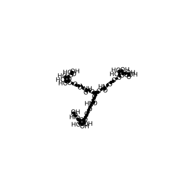 CC(COCCC(=O)NCCOCCOCCOC1OC(COPOOO)C(O)C(O)C1O)(COCCC(=O)NCCOCCOCCOC1OC(COP(=O)(O)O)C(O)C(O)C1O)COCCC(=O)NCCOCCOCCOC1OC(COP(=O)(O)O)C(O)C(O)C1O